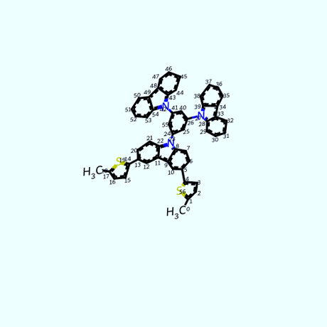 Cc1ccc(-c2ccc3c(c2)c2cc(-c4ccc(C)s4)ccc2n3-c2cc(-n3c4ccccc4c4ccccc43)cc(-n3c4ccccc4c4ccccc43)c2)s1